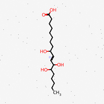 CCCCCC(O)C(O)/C=C/C(O)CCCCCCCC(=O)O